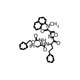 CC(C)CC(NC(=O)OCc1ccccc1)C(=O)NC(CCc1ccccc1)C(=O)c1nc(C(=O)N(C)c2cccc3ccccc23)co1